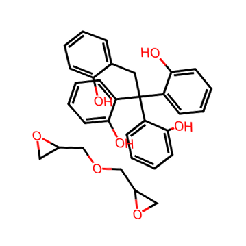 C(OCC1CO1)C1CO1.Oc1ccccc1CC(c1ccccc1O)(c1ccccc1O)c1ccccc1O